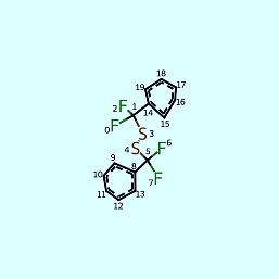 FC(F)(SSC(F)(F)c1ccccc1)c1ccccc1